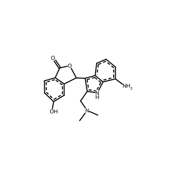 CN(C)Cc1[nH]c2c(N)cccc2c1C1OC(=O)c2ccc(O)cc21